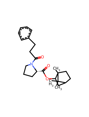 CC1(C)C2CCC1(C)C(OC(=O)[C@@H]1CCCN1C(=O)CCc1ccccc1)C2